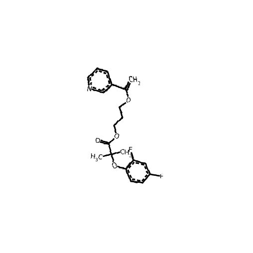 C=C(OCCCOC(=O)C(C)(C)Oc1ccc(F)cc1F)c1cccnc1